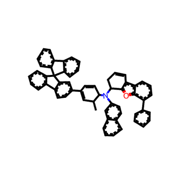 CC1C=C(c2ccc3c(c2)C2(c4ccccc4-c4ccccc42)c2ccccc2-3)C=CC1N(c1ccc2ccccc2c1)C1CC=Cc2c1oc1c(-c3ccccc3)cccc21